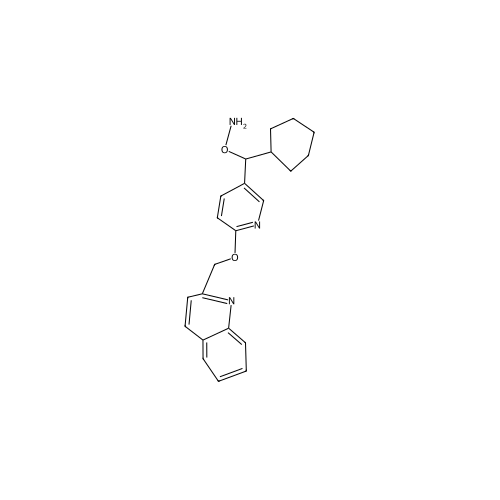 NOC(c1ccc(OCc2ccc3ccccc3n2)nc1)C1CCCCC1